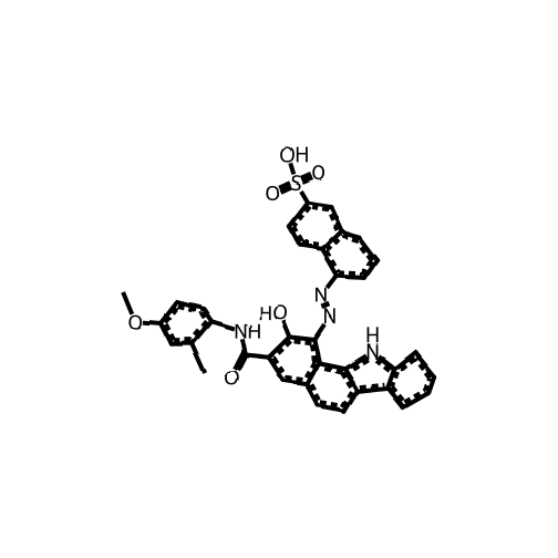 COc1ccc(NC(=O)c2cc3ccc4c5ccccc5[nH]c4c3c(N=Nc3cccc4cc(S(=O)(=O)O)ccc34)c2O)c(C)c1